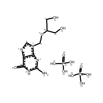 Nc1nc2c(ncn2COC(CO)CO)c(=O)[nH]1.O=P(O)(O)O.O=P(O)(O)O